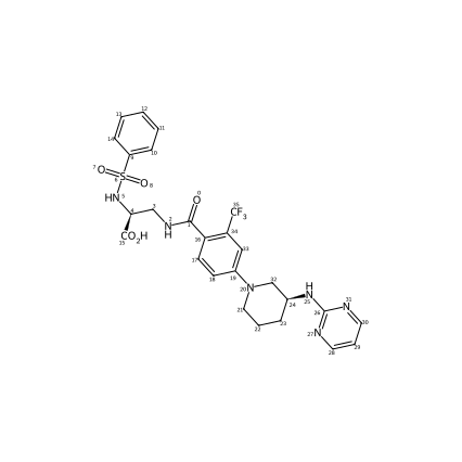 O=C(NC[C@H](NS(=O)(=O)c1ccccc1)C(=O)O)c1ccc(N2CCC[C@H](Nc3ncccn3)C2)cc1C(F)(F)F